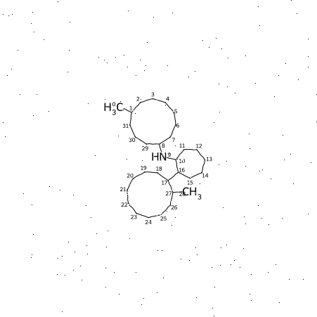 CC1CCCCCCC(NC2CCCCCC2C2CCCCCCCCCC2C)CCC1